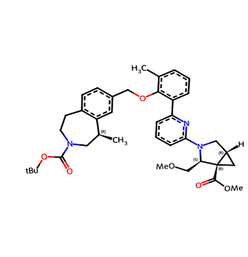 COC[C@H]1N(c2cccc(-c3cccc(C)c3OCc3ccc4c(c3)[C@@H](C)CN(C(=O)OC(C)(C)C)CC4)n2)C[C@@H]2C[C@@]21C(=O)OC